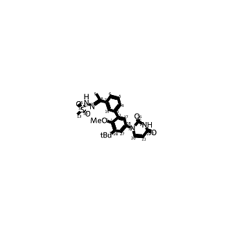 COc1c(-c2cccc(C(C)=NNS(C)(=O)=O)c2)cc(-n2ccc(=O)[nH]c2=O)cc1C(C)(C)C